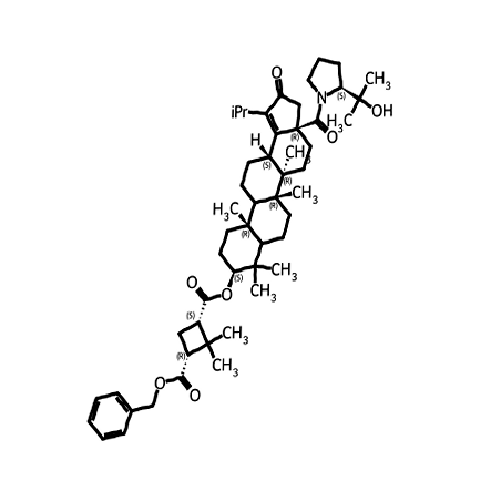 CC(C)C1=C2[C@H]3CCC4[C@@]5(C)CC[C@H](OC(=O)[C@H]6C[C@@H](C(=O)OCc7ccccc7)C6(C)C)C(C)(C)C5CC[C@@]4(C)[C@]3(C)CC[C@@]2(C(=O)N2CCC[C@H]2C(C)(C)O)CC1=O